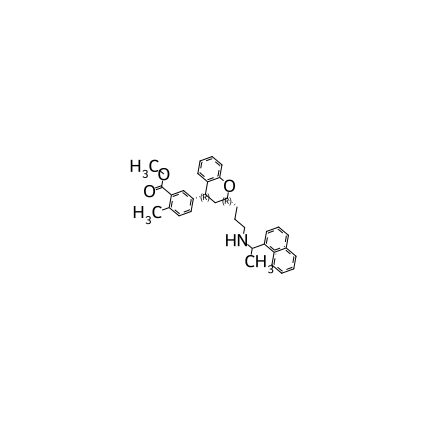 COC(=O)c1cc([C@H]2C[C@@H](CCCNC(C)c3cccc4ccccc34)Oc3ccccc32)ccc1C